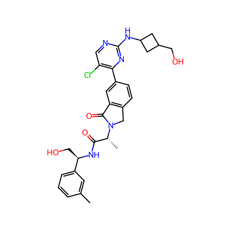 Cc1cccc([C@@H](CO)NC(=O)[C@@H](C)N2Cc3ccc(-c4nc(NC5CC(CO)C5)ncc4Cl)cc3C2=O)c1